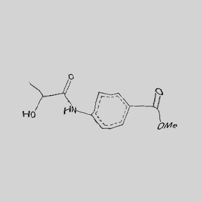 COC(=O)c1ccc(NC(=O)C(C)O)cc1